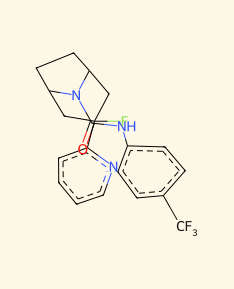 O=C(Nc1ccc(C(F)(F)F)cc1)N1C2CCC1CC(F)(c1ccccn1)C2